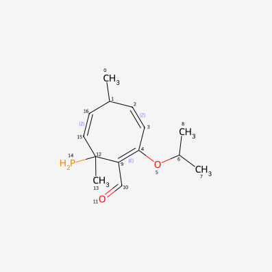 CC1/C=C\C(OC(C)C)=C(\C=O)C(C)(P)/C=C\1